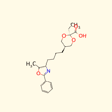 CC[C@]1(C(=O)O)OC[C@@H](CCCCc2nc(-c3ccccc3)oc2C)CO1